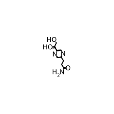 NC(=O)CCc1cnc([C@@H](O)CO)cn1